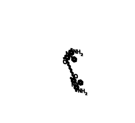 CC1=CC2=Nc3cc(C)c(N)cc3N(c3ccccc3)C2C=C1C(=O)CCCCCCCCC(=O)c1cc2c(cc1C)nc1cc(C)c(N)cc1[n+]2-c1ccccc1